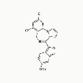 COc1ccc2c(C3=NCc4c(Cl)cc(Cl)cc4-n4cccc43)occ2c1